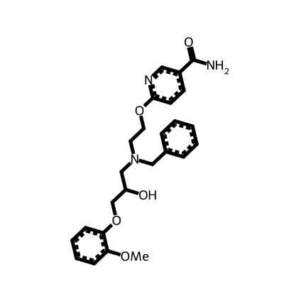 COc1ccccc1OCC(O)CN(CCOc1ccc(C(N)=O)cn1)Cc1ccccc1